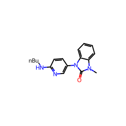 CCCCNc1ccc(-n2c(=O)n(C)c3ccccc32)cn1